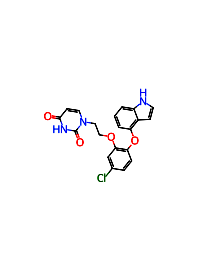 O=c1ccn(CCOc2cc(Cl)ccc2Oc2cccc3[nH]ccc23)c(=O)[nH]1